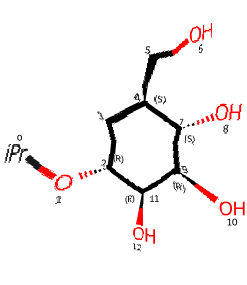 CC(C)O[C@@H]1C[C@@H](CO)[C@H](O)[C@@H](O)[C@H]1O